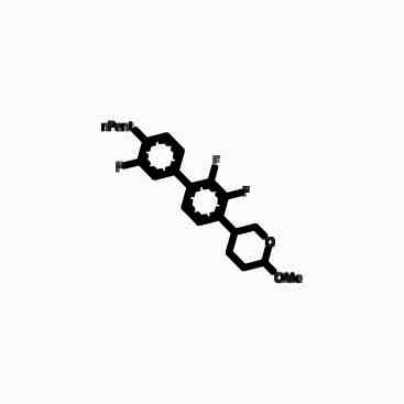 CCCCCc1ccc(-c2ccc(C3CCC(OC)OC3)c(F)c2F)cc1F